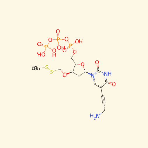 CC(C)(C)SSCO[C@@H]1C[C@H](n2cc(C#CCN)c(=O)[nH]c2=O)OC1COP(=O)(O)OP(=O)(O)OP(=O)(O)O